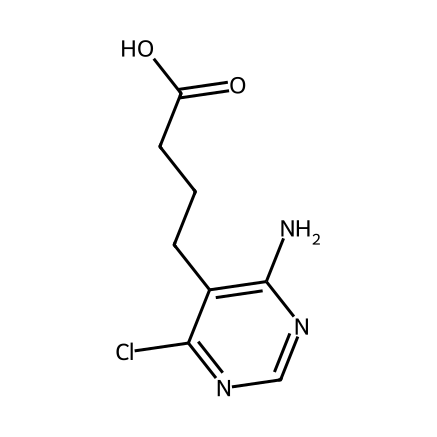 Nc1ncnc(Cl)c1CCCC(=O)O